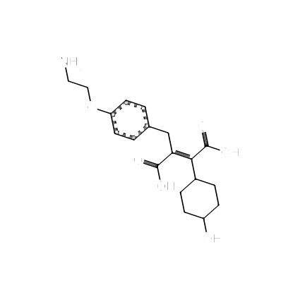 NCCOc1ccc(CC(C(=O)O)=C(C(=O)O)C2CCC(O)CC2)cc1